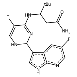 CC(C)(C)C(CC(N)=O)NC1=NC(c2c[nH]c3ncc(F)cc23)NC=C1F